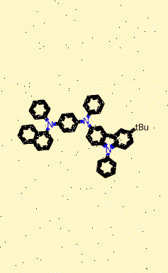 CC(C)(C)c1ccc2c(c1)c1cc(N(c3ccccc3)c3ccc(N(c4ccccc4)c4cccc5ccccc45)cc3)ccc1n2-c1ccccc1